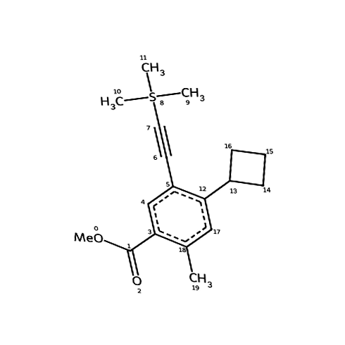 COC(=O)c1cc(C#CS(C)(C)C)c(C2CCC2)cc1C